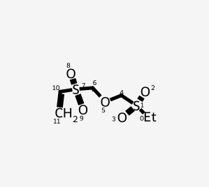 [CH2]CS(=O)(=O)CO[CH]S(=O)(=O)C=C